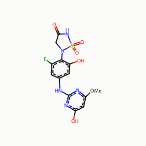 COc1cc(O)nc(Nc2cc(O)c(N3CC(=O)NS3(=O)=O)c(F)c2)n1